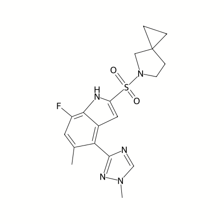 Cc1cc(F)c2[nH]c(S(=O)(=O)N3CCC4(CC4)C3)cc2c1-c1ncn(C)n1